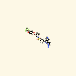 O=S(=O)(CC1CCC(c2nc3[nH]ccc3c3cnccc23)CC1)N1CCCC(COc2ccc(OC(F)(F)F)cc2)C1